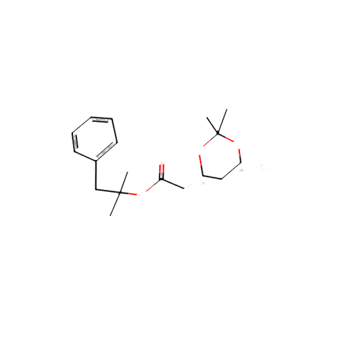 CC[C@@H]1C[C@H](CC(=O)OC(C)(C)Cc2ccccc2)OC(C)(C)O1